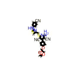 CC1(C)OCC(COc2ccc(-c3c(C#N)c(N)nc(SCc4csc(Nc5ccc(C#N)cc5)n4)c3C#N)cc2)O1